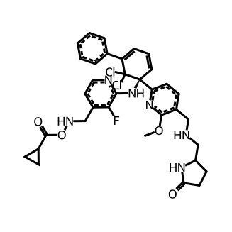 COc1nc([C@@]2(Nc3nccc(CNOC(=O)C4CC4)c3F)C=CC=C(c3ccccc3)C2(Cl)Cl)ccc1CNCC1CCC(=O)N1